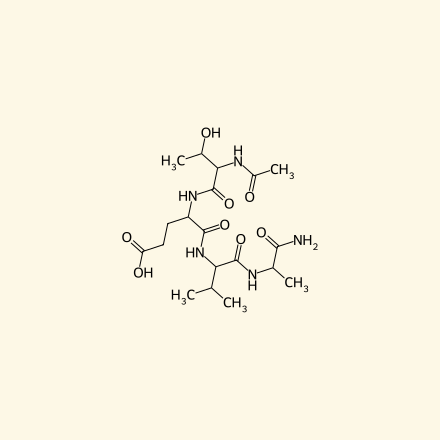 CC(=O)NC(C(=O)NC(CCC(=O)O)C(=O)NC(C(=O)NC(C)C(N)=O)C(C)C)C(C)O